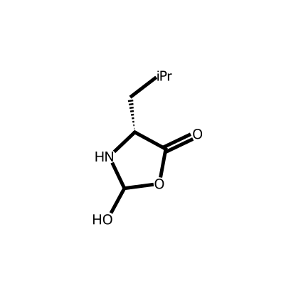 CC(C)C[C@H]1NC(O)OC1=O